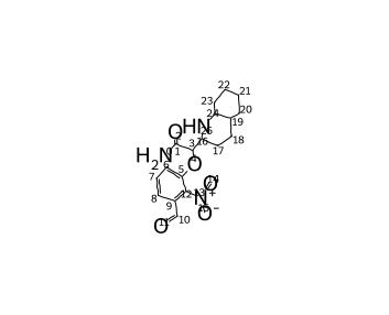 NC(=O)C(Oc1cccc(C=O)c1[N+](=O)[O-])C1CCC2CCCCC2N1